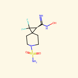 N=C(NO)[C@@H]1C(F)(F)C12CCN(S(N)(=O)=O)CC2